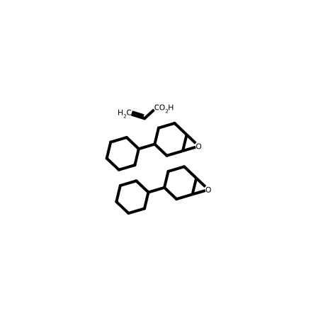 C1CCC(C2CCC3OC3C2)CC1.C1CCC(C2CCC3OC3C2)CC1.C=CC(=O)O